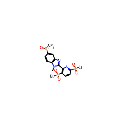 CCS(=O)(=O)c1ccc(S(=O)(=O)CC)c(-c2nc3cc([S+]([O-])C(F)(F)F)ccc3n2C)n1